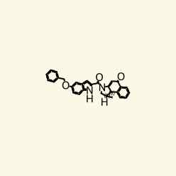 O=C1C=C2N(C(=O)c3cc4cc(OCc5ccccc5)ccc4[nH]3)C[C@H]3C[C@@]23c2ccccc21